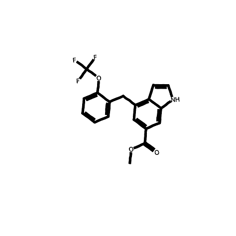 COC(=O)c1cc(Cc2ccccc2OC(F)(F)F)c2cc[nH]c2c1